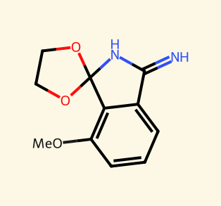 COc1cccc2c1C1(NC2=N)OCCO1